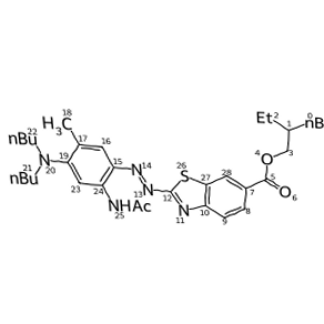 CCCCC(CC)COC(=O)c1ccc2nc(N=Nc3cc(C)c(N(CCCC)CCCC)cc3NC(C)=O)sc2c1